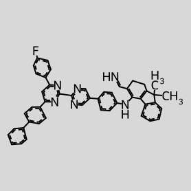 CC1(C)C2=C(C(Nc3ccc(-c4cnc(-c5nc(-c6ccc(F)cc6)cc(-c6ccc(-c7ccccc7)cc6)n5)nc4)cc3)=C(C=N)CC2)c2ccccc21